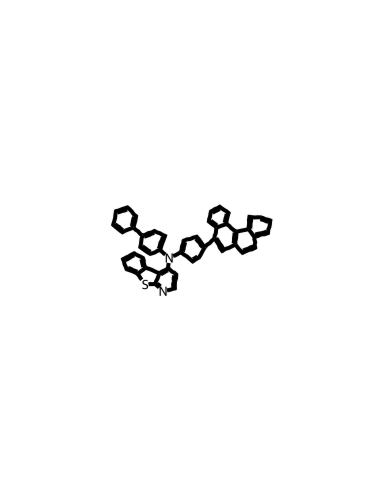 c1ccc(-c2ccc(N(c3ccc(-c4cc5ccc6ccccc6c5c5ccccc45)cc3)c3ccnc4sc5ccccc5c34)cc2)cc1